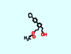 C=CC(=O)OCCCc1cc(-c2ccc(C3CCCCC3)cc2)ccc1CCCO